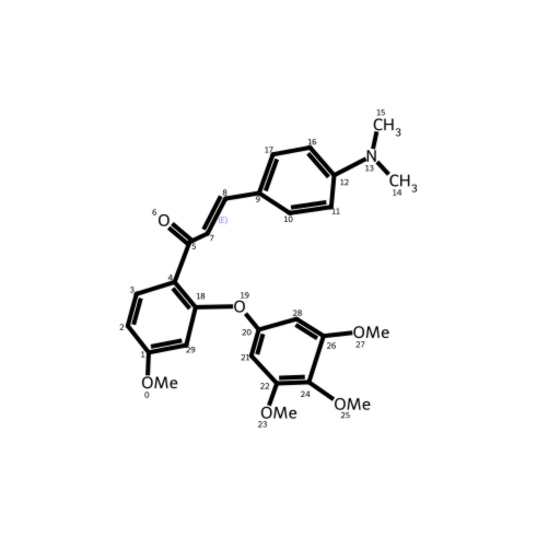 COc1ccc(C(=O)/C=C/c2ccc(N(C)C)cc2)c(Oc2cc(OC)c(OC)c(OC)c2)c1